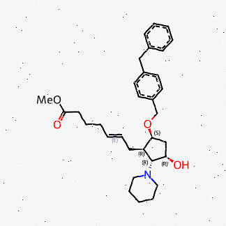 COC(=O)CCC/C=C/C[C@@H]1[C@@H](N2CCCCC2)[C@H](O)C[C@@H]1OCc1ccc(Cc2ccccc2)cc1